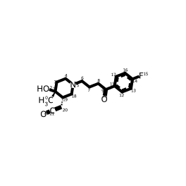 C[C@@]1(O)CCN(CCCC(=O)c2ccc(F)cc2)C[C@@H]1C=C=O